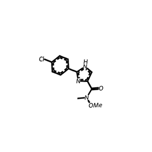 CON(C)C(=O)c1c[nH]c(-c2ccc(Cl)cc2)n1